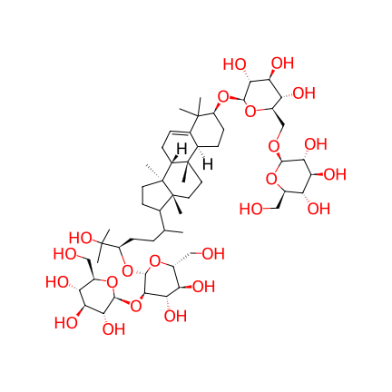 CC(CC[C@@H](O[C@@H]1O[C@H](CO)[C@@H](O)[C@H](O)[C@H]1O[C@@H]1O[C@H](CO)[C@@H](O)[C@H](O)[C@H]1O)C(C)(C)O)C1CC[C@@]2(C)[C@@H]3CC=C4[C@@H](CC[C@H](O[C@@H]5O[C@H](CO[C@@H]6O[C@H](CO)[C@@H](O)[C@H](O)[C@H]6O)[C@@H](O)[C@H](O)[C@H]5O)C4(C)C)[C@]3(C)CC[C@]12C